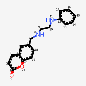 O=c1ccc2cc(CNCCNc3ccccc3)ccc2o1